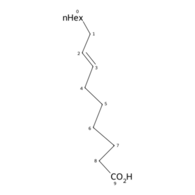 CCCCCCCC=CCCCCCC(=O)O